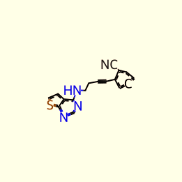 N#Cc1ccccc1C#CCCNc1ncnc2sccc12